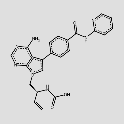 C=C[C@@H](Cn1cc(-c2ccc(C(=O)Nc3ccccn3)cc2)c2c(N)ncnc21)NC(=O)O